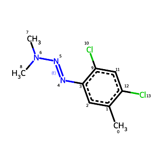 Cc1cc(/N=N/N(C)C)c(Cl)cc1Cl